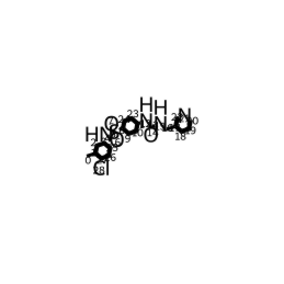 Cc1cc(NS(=O)(=O)c2ccc(NC(=O)NCc3cccnc3)cc2)ccc1Cl